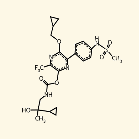 CC(O)(CNC(=O)Oc1nc(-c2ccc(NS(C)(=O)=O)cc2)c(OCC2CC2)nc1C(F)(F)F)C1CC1